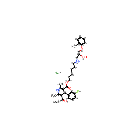 COC(=O)C1=C(C(F)(F)F)NC(C)=C(C(=O)OCCCCCCNCC(O)COc2ccccc2C#N)C1c1cccc(F)c1.Cl